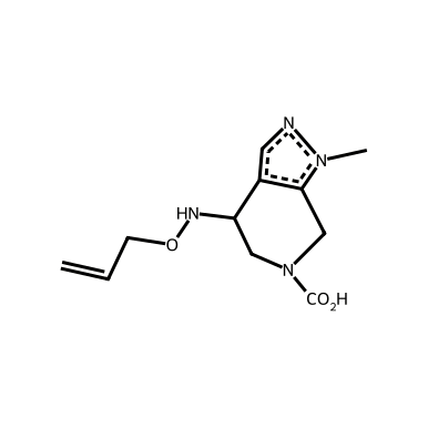 C=CCONC1CN(C(=O)O)Cc2c1cnn2C